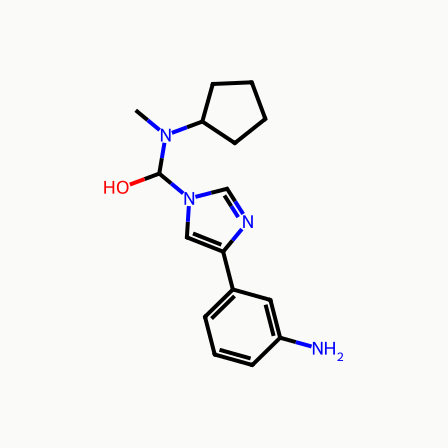 CN(C1CCCC1)C(O)n1cnc(-c2cccc(N)c2)c1